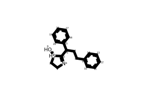 O[SH]1CCN=C1C(CCc1ccccc1)c1ccccc1